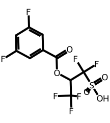 O=C(OC(C(F)(F)F)C(F)(F)S(=O)(=O)O)c1cc(F)cc(F)c1